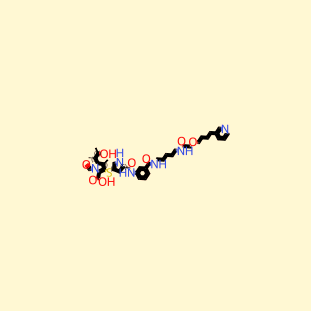 C[C@H]1C(S[C@@H]2CN[C@H](C(=O)Nc3cccc(C(=O)NCCCCCNC(=O)COCCCCc4cccnc4)c3)C2)=C(C(=O)O)N(C=O)C1[C@H](C)[C@@H](C)O